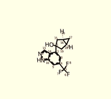 OC1(c2cc(C(F)(F)F)cc3[nH]ncc23)C[C@H]2C[C@H]2C1